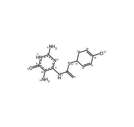 C=C(Nc1nc(N)[nH]c(=O)c1N)SC1C=CC(Cl)=CC1